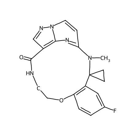 CN1c2ccn3ncc(c3n2)C(=O)NCCOc2ccc(F)cc2C12CC2